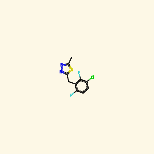 Cc1nnc(Cc2c(F)ccc(Cl)c2F)s1